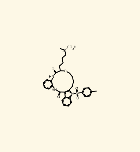 Cc1ccc(S(=O)(=O)n2c3c(c4ccccc42)C(=O)Nc2ccccc2NC(=O)C(CCCC[C@H](C)C(=O)O)OCCCC3)cc1